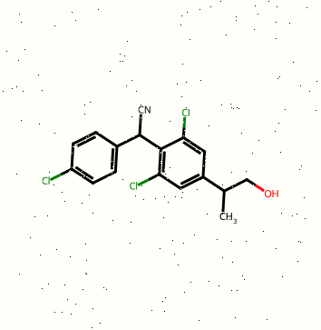 CC(CO)c1cc(Cl)c(C(C#N)c2ccc(Cl)cc2)c(Cl)c1